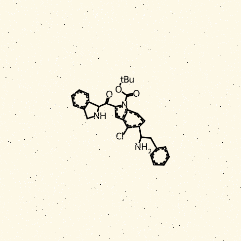 CC(C)(C)OC(=O)n1c(C(=O)C2NCc3ccccc32)cc2c(Cl)c(C(N)Cc3ccccc3)ccc21